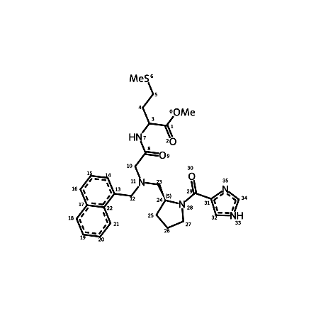 COC(=O)C(CCSC)NC(=O)CN(Cc1cccc2ccccc12)C[C@@H]1CCCN1C(=O)c1c[nH]cn1